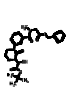 CN(CC(=O)OCc1ccccc1)C(=O)c1cccc(N2CCO[C@H]([C@@H](O)C(=O)OC(C)(C)C)C2=O)c1